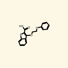 O=C(O)c1sc2ccccc2c1OCCOc1ccccc1